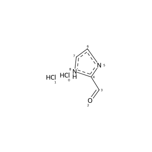 Cl.Cl.O=Cc1ncc[nH]1